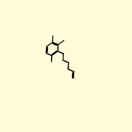 [CH]=CCCCCc1c(C)ccc(C)c1C